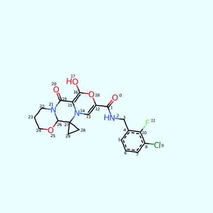 O=C(NCc1cccc(Cl)c1F)C1=CN2C(=C(O)O1)C(=O)N1CCCOC1C21CC1